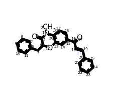 CN1C(=O)C(Cc2ccccc2)Oc2cc(C(=O)/C=C/c3ccccc3)ccc21